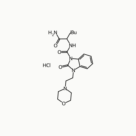 CCC(C)C(NC(=O)n1c(=O)n(CCN2CCOCC2)c2ccccc21)C(N)=O.Cl